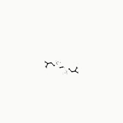 O=C1OCC1CC[S+]([O-])CC[S+]([O-])CCC1COC1=O